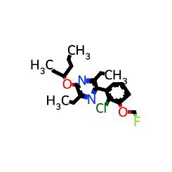 CCCC(CC)Oc1nc(CC)c(-c2cccc(OCF)c2Cl)nc1CC